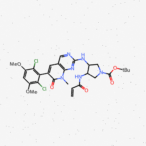 C=CC(=O)NC1CN(C(=O)OC(C)(C)C)CC1Nc1ncc2cc(-c3c(Cl)c(OC)cc(OC)c3Cl)c(=O)n(C)c2n1